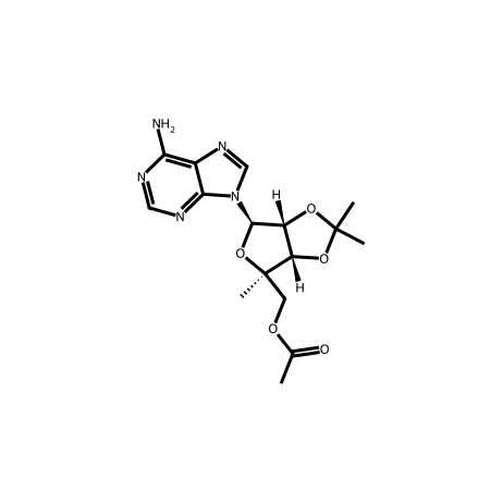 CC(=O)OC[C@@]1(C)O[C@@H](n2cnc3c(N)ncnc32)[C@@H]2OC(C)(C)O[C@@H]21